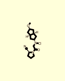 CO[C@@H]1C[C@@H]2C[C@@H](N(Cl)CC(=O)N3CCC[C@H]3C#N)C[C@@H]2C1